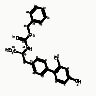 CCc1cc(O)ccc1-c1ccc(C[C@H](NC(=O)OCc2ccccc2)C(=O)O)cc1